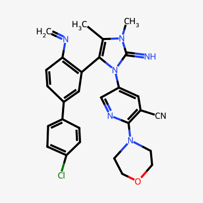 C=Nc1ccc(-c2ccc(Cl)cc2)cc1-c1c(C)n(C)c(=N)n1-c1cnc(N2CCOCC2)c(C#N)c1